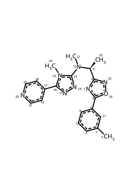 Cc1cccc(-c2nc([C@H](C)N(C)c3nnc(-c4ccncc4)n3C)no2)c1